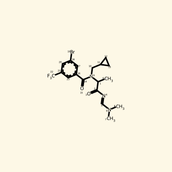 CC(C(=O)N=CN(C)C)N(CC1CC1)C(=O)c1cc(Br)cc(C(F)(F)F)c1